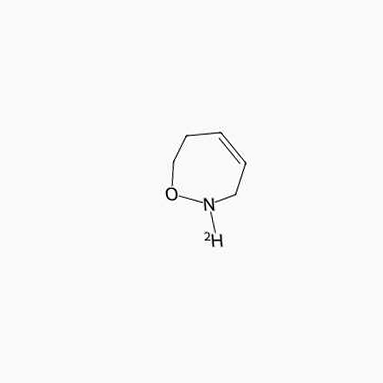 [2H]N1CC=CCCO1